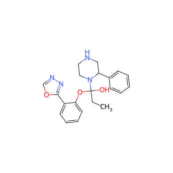 CCC(O)(Oc1ccccc1-c1nnco1)N1CCNCC1c1ccccc1